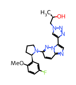 COc1ccc(F)cc1[C@H]1CCCN1c1ccc2ncc(-c3cn(C[C@@H](C)O)nn3)n2n1